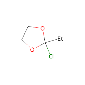 CCC1(Cl)OCCO1